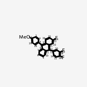 COc1ccc(-c2c3ccccc3c(-c3ccc(F)c(F)c3)c3cc(F)ccc23)cc1